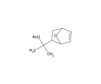 CC(=O)OC(C)(C)C1CC2C=CC1O2